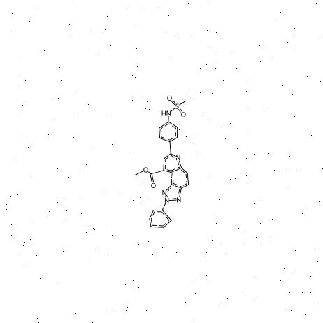 COC(=O)c1cc(-c2ccc(NS(C)(=O)=O)cc2)nc2ccc3nn(-c4ccccc4)nc3c12